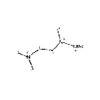 CNN(C)CCN(C)C